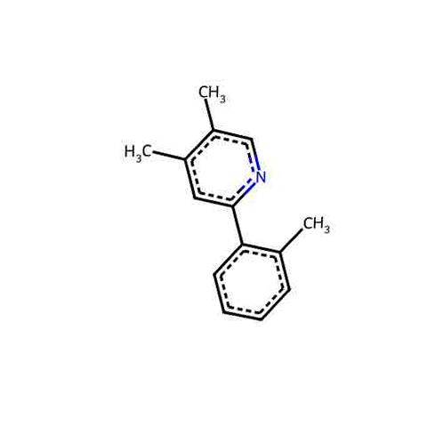 Cc1cnc(-c2ccccc2C)cc1C